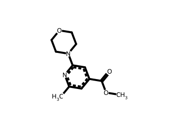 COC(=O)c1cc(C)nc(N2CCOCC2)c1